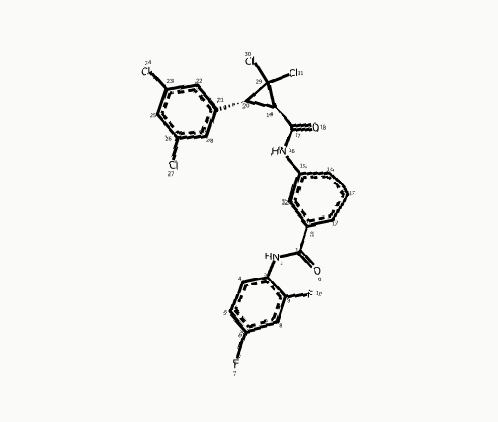 O=C(Nc1ccc(F)cc1F)c1cccc(NC(=O)[C@H]2[C@H](c3cc(Cl)cc(Cl)c3)C2(Cl)Cl)c1